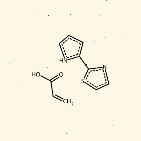 C=CC(=O)O.c1c[nH]c(-c2nccs2)c1